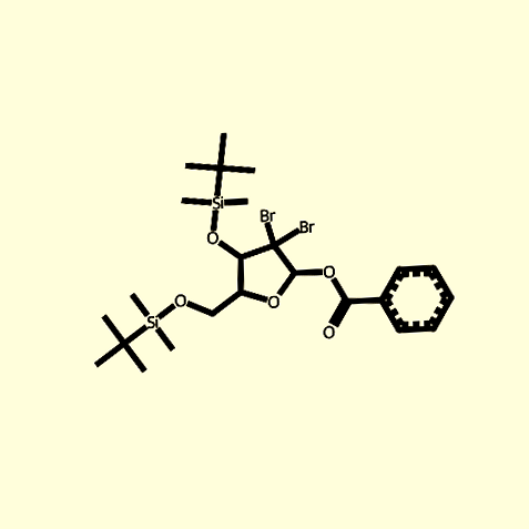 CC(C)(C)[Si](C)(C)OCC1OC(OC(=O)c2ccccc2)C(Br)(Br)C1O[Si](C)(C)C(C)(C)C